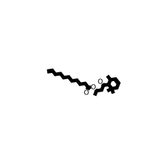 C=CCCCCCCCCC(=O)OC(C)CC(=O)C1C(C)C=CCC1(C)C